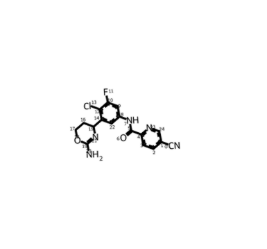 N#Cc1ccc(C(=O)Nc2cc(F)c(Cl)c(C3CCOC(N)=N3)c2)nc1